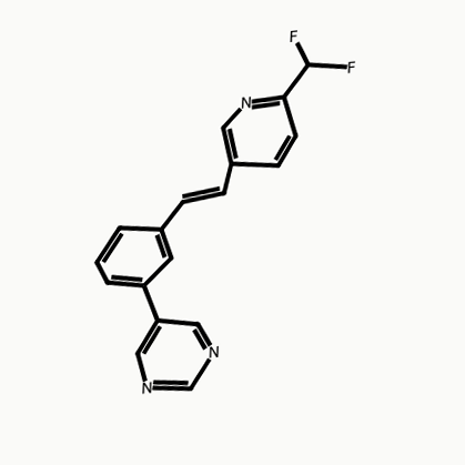 FC(F)c1ccc(/C=C/c2cccc(-c3cncnc3)c2)cn1